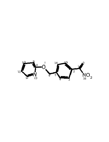 C=C(c1ccc(COc2ccccn2)cc1)[N+](=O)[O-]